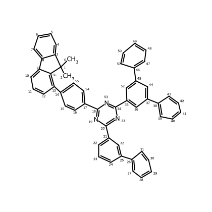 CC1(C)c2ccccc2-c2cccc(-c3ccc(-c4nc(-c5cccc(-c6ccccc6)c5)nc(-c5cc(-c6ccccc6)cc(-c6ccccc6)c5)n4)cc3)c21